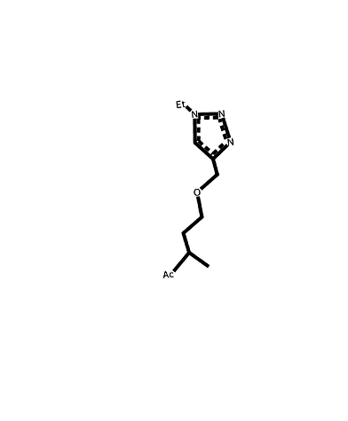 CCn1cc(COCCC(C)C(C)=O)nn1